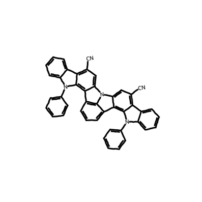 N#Cc1cc2c(c3cccc4c5c6c(c(C#N)cc5n2c34)c2ccccc2n6-c2ccccc2)c2c1c1ccccc1n2-c1ccccc1